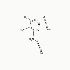 Cc1cccc(N)c1N.N=C=O.N=C=O